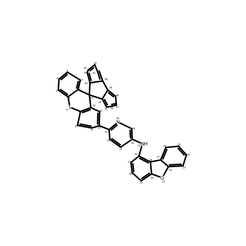 c1ccc2c(c1)Sc1ccc(-c3ccc(Nc4cccc5oc6ccccc6c45)cn3)cc1C21c2ccccc2-c2ccccc21